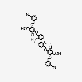 Cc1c(COc2cc(OCc3cncc(C#N)c3)c(CO)cc2Cl)cccc1-c1cccc(COc2cc(OCc3cncc(C#N)c3)c(CO)cc2Cl)c1C